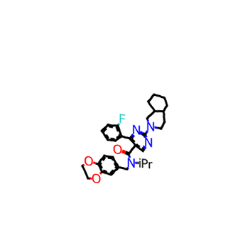 CC(C)N(Cc1ccc2c(c1)OCCO2)C(=O)c1cnc(N2CCC3CCCCC3C2)nc1-c1ccccc1F